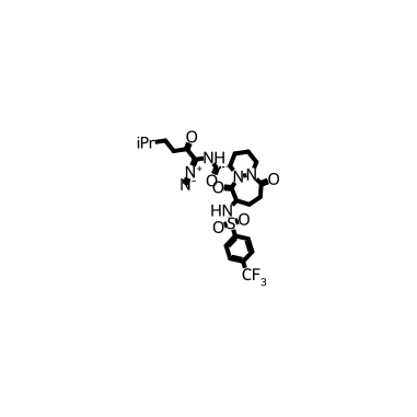 CC(C)CCC(=O)C(=[N+]=[N-])NC(=O)[C@@H]1CCCN2C(=O)CCC(NS(=O)(=O)c3ccc(C(F)(F)F)cc3)C(=O)N12